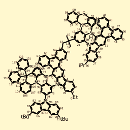 CCc1ccc2c3cc4c5ccc(CC(C)(C)c6cc7c8c(c6)-n6c9cc(C(C)C)ccc9c9cc%10c%11ccccc%11c%11ccccc%11c%10c(c96)[SH]8c6cccc8c6N7c6ccccc6S8)cc5c5ccccc5c4c4c3n(c2c1)-c1cc(-n2c3ccc(C(C)(C)C)cc3c3cc(C(C)(C)C)ccc32)cc2c1B4c1cccc3c1N2c1ccccc1C3(c1ccccc1)c1ccccc1